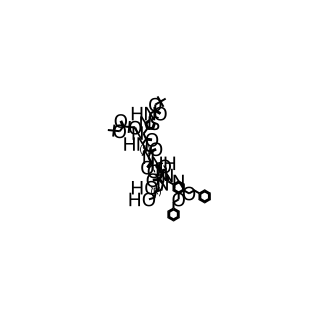 CC(C)(C)OC(=O)Nc1nc(C(=NOC(C)(C)C(=O)OC(C)(C)C)C(=O)N[C@H]2CN(C(=O)NS(=O)(=O)n3nc(-c4cc(OCc5ccccc5)c(OCc5ccccc5)cn4)n(C[C@@H](O)CO)c3=O)C2=O)cs1